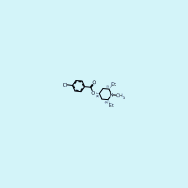 CC[C@@H]1C[C@H](OC(=O)c2ccc(Cl)cc2)C[C@H](CC)N1C